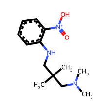 CN(C)CC(C)(C)CNc1ccccc1[N+](=O)O